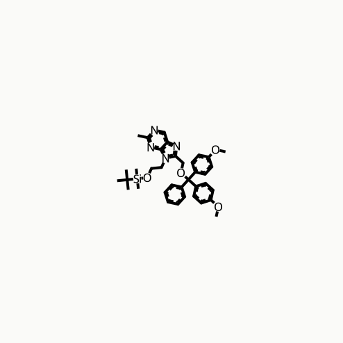 COc1ccc(C(OCc2nc3cnc(C)nc3n2CCO[Si](C)(C)C(C)(C)C)(c2ccccc2)c2ccc(OC)cc2)cc1